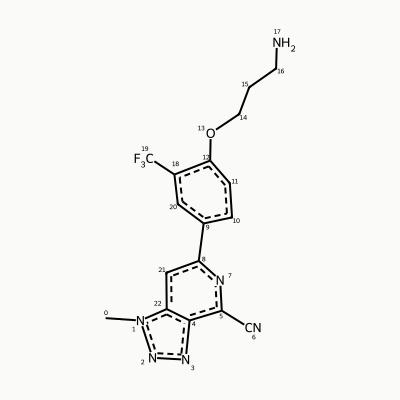 Cn1nnc2c(C#N)nc(-c3ccc(OCCCN)c(C(F)(F)F)c3)cc21